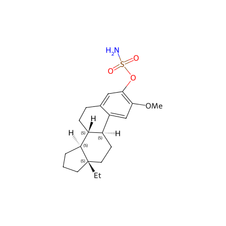 CC[C@@]12CCC[C@H]1[C@@H]1CCc3cc(OS(N)(=O)=O)c(OC)cc3[C@H]1CC2